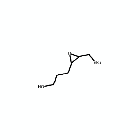 CCCCCC1OC1CCCO